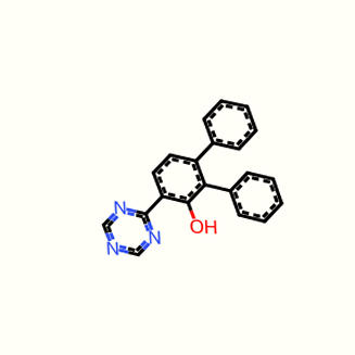 Oc1c(-c2ncncn2)ccc(-c2ccccc2)c1-c1ccccc1